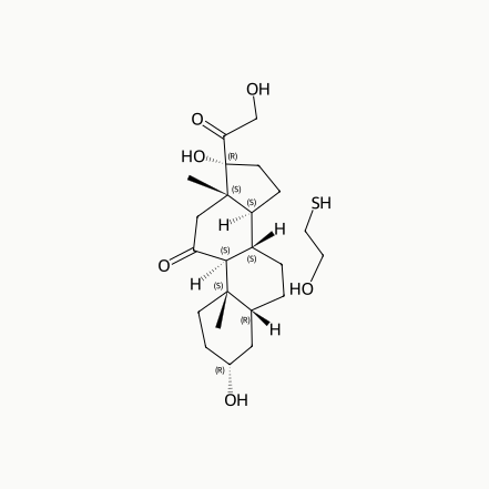 C[C@]12CC[C@@H](O)C[C@H]1CC[C@@H]1[C@@H]2C(=O)C[C@@]2(C)[C@H]1CC[C@]2(O)C(=O)CO.OCCS